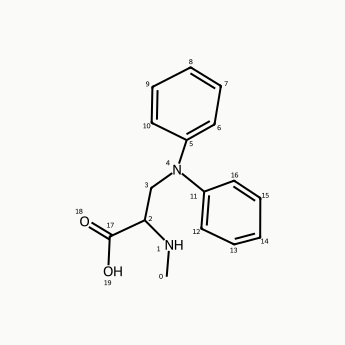 CNC(CN(c1ccccc1)c1ccccc1)C(=O)O